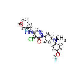 CN(c1ccc(OCF)cc1)c1ccc(-n2ncc(NC[C@]3(F)CCCOC3)c(Cl)c2=O)cc1